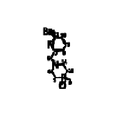 CP1(=O)CCN(Cc2cccc(Br)n2)CC1